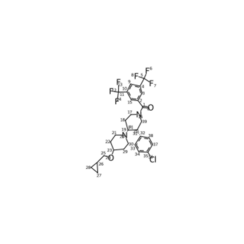 O=C(c1cc(C(F)(F)F)cc(C(F)(F)F)c1)N1CC[C@@H](N2CCC(OCC3CC3)CC2)[C@@H](c2ccc(Cl)cc2)C1